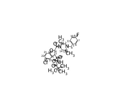 C[C@@H]1CN(Cc2ccc(F)cc2)[C@@H](C)CN1C(=O)COc1ccc(Cl)cc1CS(=O)(=O)NC(=O)C(C)(C)C